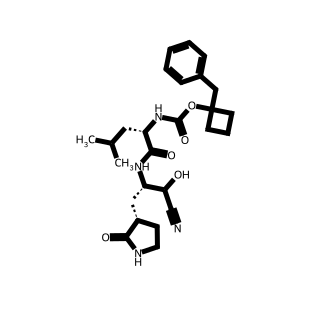 CC(C)C[C@H](NC(=O)OC1(Cc2ccccc2)CCC1)C(=O)N[C@@H](C[C@@H]1CCNC1=O)C(O)C#N